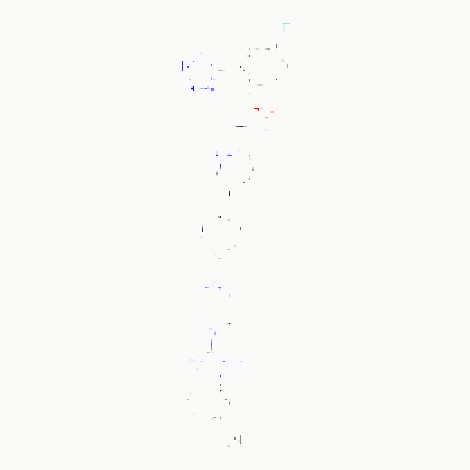 N#Cc1ccc2nc(N3CCN(c4ccc(-c5ccc(C(F)(F)[C@]6(O)Cn7nnnc7-c7cc(F)ccc76)nc5)cc4)CC3)[nH]c2c1